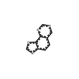 c1ncc2ccc3ncoc3c2n1